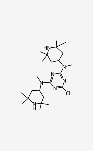 CN(c1nc(Cl)nc(N(C)C2CC(C)(C)NC(C)(C)C2)n1)C1CC(C)(C)NC(C)(C)C1